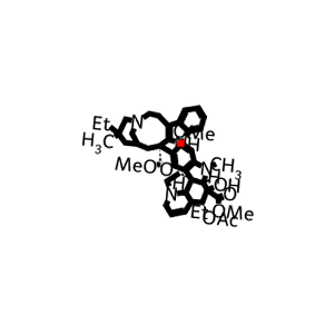 CCC1(C)CC2CN(CCc3c([nH]c4ccccc34)[C@@](C(=O)OC)(c3cc4c(cc3OC)N(C)[C@H]3C(O)(C(=O)OC)[C@H](OC(C)=O)[C@]5(CC)C=CCN6CC[C@]43[C@@H]65)C2)C1